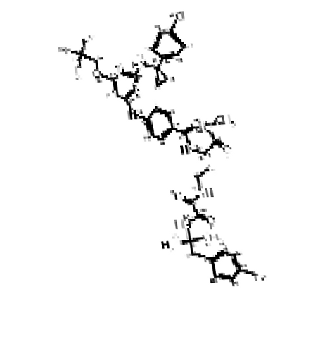 COC(=O)[C@H](CCNC(=O)C(=O)NC(C)(C)Cc1ccc(F)cc1)NC(=O)c1ccc(Nc2nc(NC3(c4ccc(Cl)cc4)CC3)nc(OCC(F)(F)F)n2)cc1